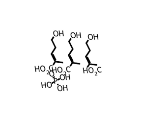 CC(=CCCO)C(=O)O.CC(=CCCO)C(=O)O.CC(=CCCO)C(=O)O.O=P(O)(O)O